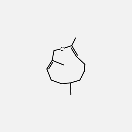 C/C1=C\CCCC(C)CC/C=C(\C)CC1